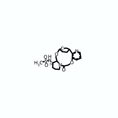 CS(=O)(=O)N[C@H]1CCCN2C(=O)COc3cccnc3C3CCC(CC3)OCC12